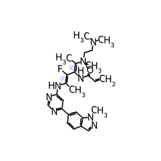 C=CC(=O)NC(/C(F)=C(\C)Nc1cc(-c2ccc3cnn(C)c3c2)ncn1)=C(/C)N(C)CCN(C)C